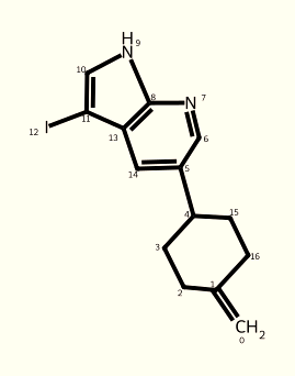 C=C1CCC(c2cnc3[nH]cc(I)c3c2)CC1